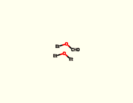 CCOC=O.CCOCC